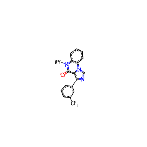 CC(C)n1c(=O)c2c(-c3cccc(C(F)(F)F)c3)ncn2c2ccccc21